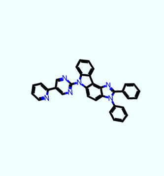 c1ccc(-c2nc3c4c5ccccc5n(-c5ncc(-c6ccccn6)cn5)c4ccc3n2-c2ccccc2)cc1